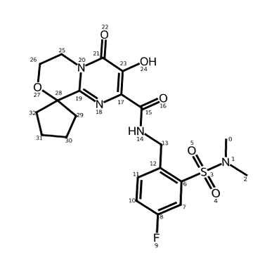 CN(C)S(=O)(=O)c1cc(F)ccc1CNC(=O)c1nc2n(c(=O)c1O)CCOC21CCCC1